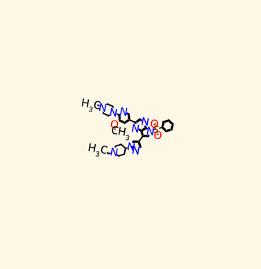 CCN1CCC(n2cc(-c3cn(S(=O)(=O)c4ccccc4)c4ncc(-c5cnc(N6CCN(C)CC6)c(OC)c5)nc34)cn2)CC1